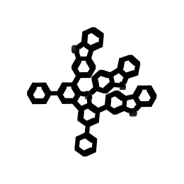 C1=CCCC(c2cc(-c3ccc4c(c3)oc3ccccc34)c3c(c2)c2cc(-c4ccccc4)cc(-c4ccc5c(c4)oc4ccccc45)c2n3-c2ccc3c(c2)sc2ccccc23)=C1